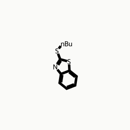 [CH2]CCCSc1nc2ccccc2s1